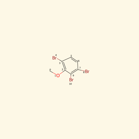 COc1c(Br)c[c]c(Br)c1Br